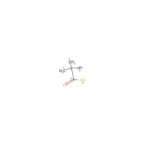 CCCC(C)(C)C(=O)S